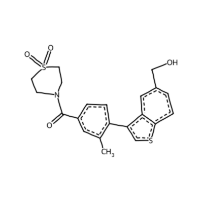 Cc1cc(C(=O)N2CCS(=O)(=O)CC2)ccc1-c1csc2ccc(CO)cc12